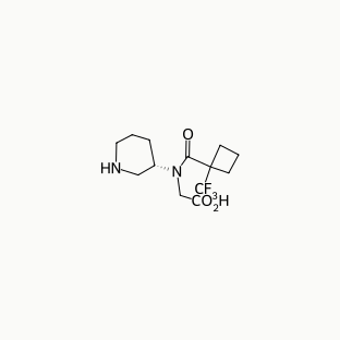 O=C(O)CN(C(=O)C1(C(F)(F)F)CCC1)[C@H]1CCCNC1